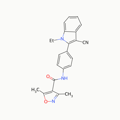 CCn1c(-c2ccc(NC(=O)c3c(C)noc3C)cc2)c(C#N)c2ccccc21